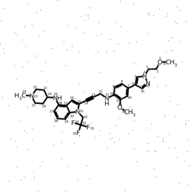 COCCn1cc(-c2ccc(NCC#Cc3cc4c(NC5CCN(C)CC5)cccc4n3CC(F)(F)F)c(OC)c2)cn1